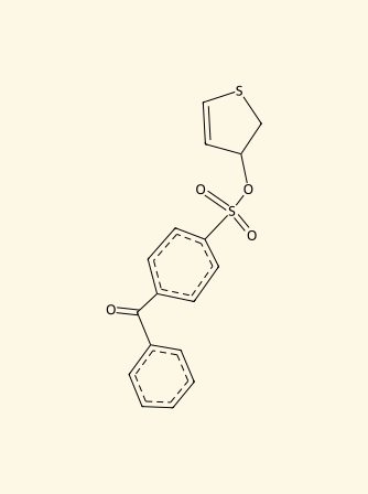 O=C(c1ccccc1)c1ccc(S(=O)(=O)OC2C=CSC2)cc1